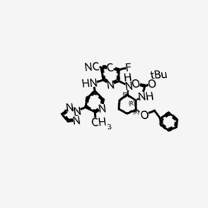 Cc1ncc(Nc2nc(N[C@@H]3CCC[C@@H](OCc4ccccc4)[C@@H]3NC(=O)OC(C)(C)C)c(F)cc2C#N)cc1-n1nccn1